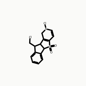 O=S1(=O)C2=C(CN(Cl)C=C2)C2C(CCl)c3ccccc3C21